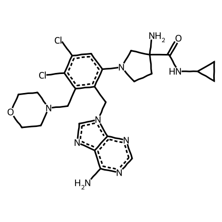 Nc1ncnc2c1ncn2Cc1c(N2CCC(N)(C(=O)NC3CC3)C2)cc(Cl)c(Cl)c1CN1CCOCC1